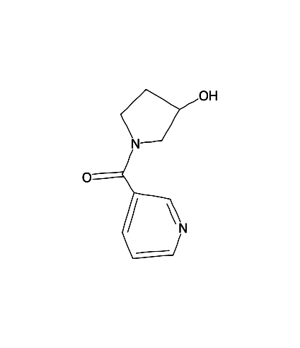 O=C(c1cccnc1)N1CCC(O)C1